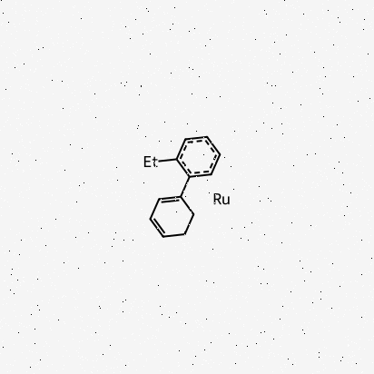 CCc1ccccc1C1=CC=CCC1.[Ru]